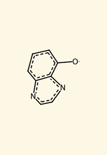 [O]c1cccc2nccnc12